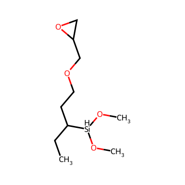 CCC(CCOCC1CO1)[SiH](OC)OC